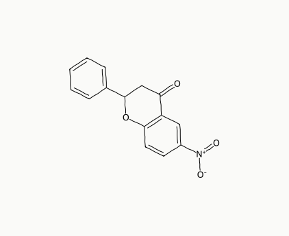 O=C1CC(c2ccccc2)Oc2ccc([N+](=O)[O-])cc21